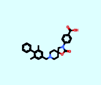 Cc1cc(CN2CCC3(CC2)CN(c2ccc(C(=O)O)cc2)C(=O)O3)cc(C)c1-c1ccccc1